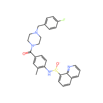 Cc1cc(C(=O)N2CCN(Cc3ccc(F)cc3)CC2)ccc1N[S+]([O-])c1cccc2cccnc12